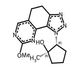 COc1ncc2c(n1)-c1c(nnn1[C@@H]1CCC[C@@]1(C)O)CC2